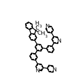 CC1(C)c2ccccc2-c2ccc(-c3cc(-c4cccc(-c5cncc(-c6ccncc6)c5)c4)cc(-c4cccc(-c5cncc(-c6ccncc6)c5)c4)c3)cc21